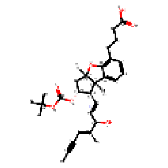 CC#CC[C@H](C)[C@H](O)/C=C/[C@@H]1[C@H]2c3cccc(CCCC(=O)O)c3O[C@H]2C[C@H]1OC(=O)OC(C)(C)C